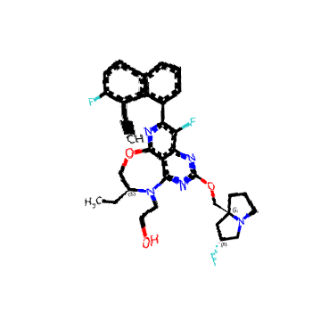 C#Cc1c(F)ccc2cccc(-c3nc4c5c(nc(OC[C@@]67CCCN6C[C@H](F)C7)nc5c3F)N(CCO)[C@@H](CC)CO4)c12